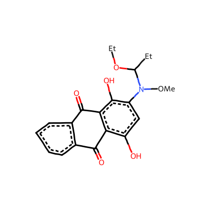 CCOC(CC)N(OC)c1cc(O)c2c(c1O)C(=O)c1ccccc1C2=O